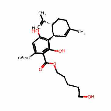 C=C(C)[C@@H]1CCC(C)=C[C@H]1c1c(O)cc(CCCCC)c(C(=O)OCCCCCO)c1O